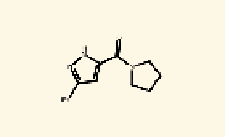 CC(C)c1cc(C(=O)N2C[CH]CC2)[nH]n1